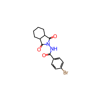 O=C(NN1C(=O)C2CCCCC2C1=O)c1ccc(Br)cc1